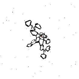 CC1(C)c2cc(N(c3ccccc3)c3ccccc3)ccc2-c2c1c1c(c3c2oc2ccccc23)-c2ccc(N(c3ccccc3)c3ccccc3)cc2C1(c1ccccc1)c1ccccc1